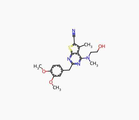 COc1ccc(Cc2nc(N(C)CCO)c3c(C)c(C#N)sc3n2)cc1OC